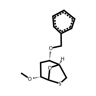 CO[C@@H]1C[C@H](OCc2ccccc2)[C@H]2CSC1O2